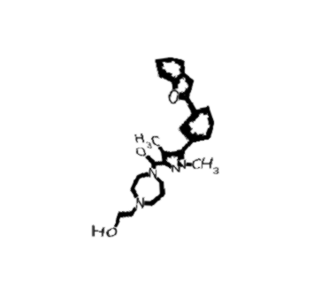 Cc1c(C(=O)N2CCCN(CCO)CC2)nn(C)c1-c1cccc(-c2cc3ccccc3o2)c1